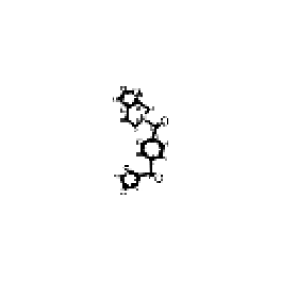 O=C(c1ccc(C(=O)N2CCc3ccoc3C2)cc1)c1cccs1